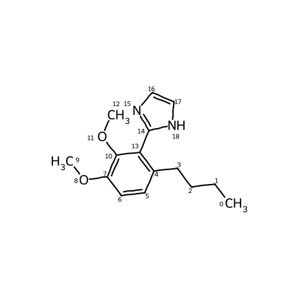 CCCCc1ccc(OC)c(OC)c1-c1ncc[nH]1